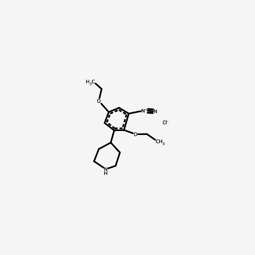 CCOc1cc([N+]#N)c(OCC)c(C2CCNCC2)c1.[Cl-]